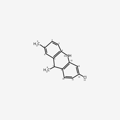 Cc1ccc2c(c1)C(C)c1ccc(Cl)cc1N2